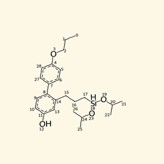 CCCOc1ccc(-c2ccc(O)cc2CCC[SiH](OC(C)C)OC(C)C)cc1